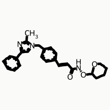 Cc1nc(-c2ccccc2)cn1Cc1ccc(/C=C/C(=O)NOC2CCCCO2)cc1